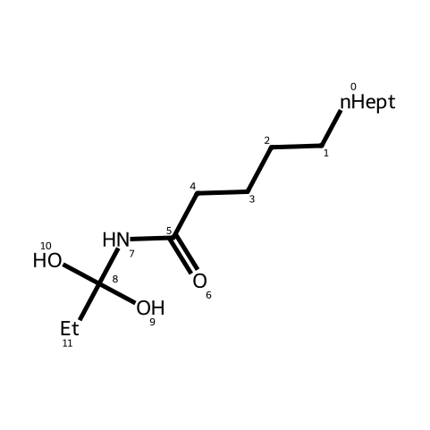 CCCCCCCCCCCC(=O)NC(O)(O)CC